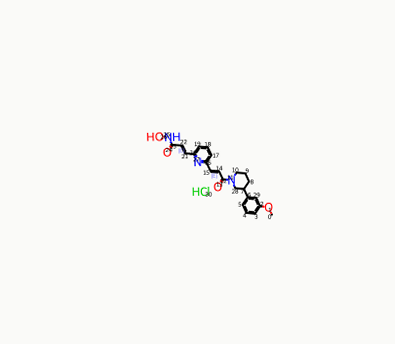 COc1cccc(C2CCCN(C(=O)/C=C/c3cccc(/C=C/C(=O)NO)n3)C2)c1.Cl